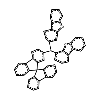 c1ccc2c(c1)-c1ccccc1C21c2ccccc2-c2ccc(N(c3ccc4c(c3)oc3ccccc34)c3cccc4c3oc3ccccc34)cc21